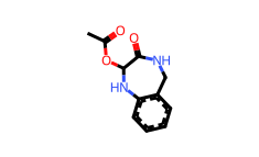 CC(=O)OC1Nc2ccccc2CNC1=O